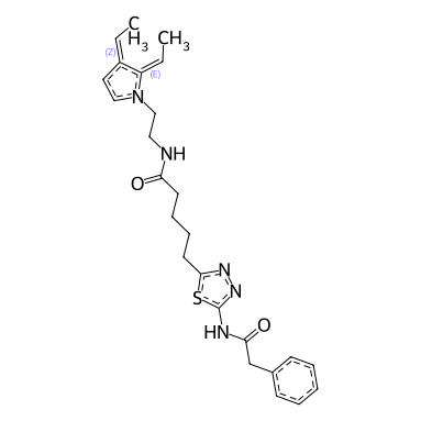 C/C=c1/ccn(CCNC(=O)CCCCc2nnc(NC(=O)Cc3ccccc3)s2)/c1=C/C